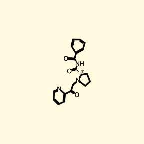 O=C(NC(=O)[C@@H]1CCCN1CC(=O)c1ccccn1)c1ccccc1